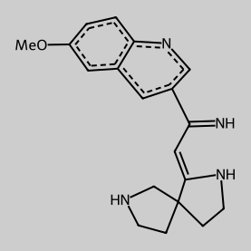 COc1ccc2ncc(C(=N)/C=C3\NCCC34CCNC4)cc2c1